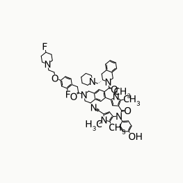 Cc1c(N(C(=O)c2cc(-c3cc4c(cc3C(=O)N3Cc5ccccc5C[C@H]3CN3CCCCC3)CN(C(=O)Cc3ccc(OCCN5CCC(F)CC5)cc3F)CC4)n(C)c2C)c2ccc(O)cc2)cc(C#N)n1C